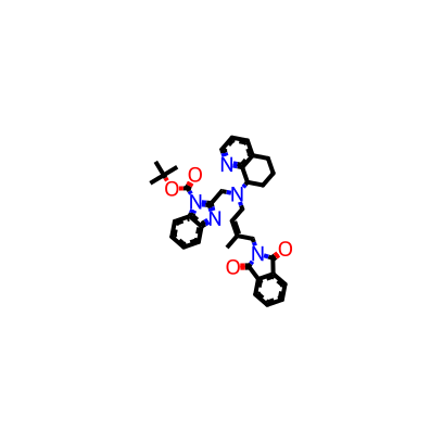 CC(=CCN(Cc1nc2ccccc2n1C(=O)OC(C)(C)C)C1CCCc2cccnc21)CN1C(=O)c2ccccc2C1=O